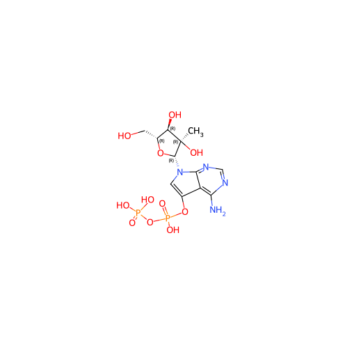 C[C@@]1(O)[C@H](O)[C@@H](CO)O[C@H]1n1cc(OP(=O)(O)OP(=O)(O)O)c2c(N)ncnc21